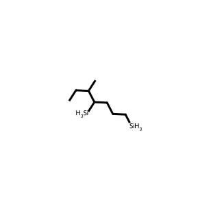 CCC(C)C([SiH3])CCC[SiH3]